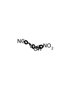 N#Cc1ccc(CCN2CCC(O)(COc3ccc([N+](=O)[O-])cc3)CC2)cc1